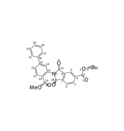 CCCCOC(=O)c1ccc2c(c1)C(=O)N(c1cc(-c3ccccc3)ccc1C(=O)OC)C2=O